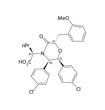 CCC[C@H](C(=O)O)N1C(=O)[C@H](Cc2ccccc2OC)O[C@@H](c2ccc(Cl)cc2)[C@H]1c1ccc(Cl)cc1